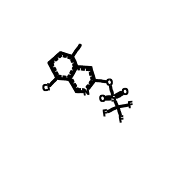 Cc1ccc(Cl)c2cnc(OS(=O)(=O)C(F)(F)F)cc12